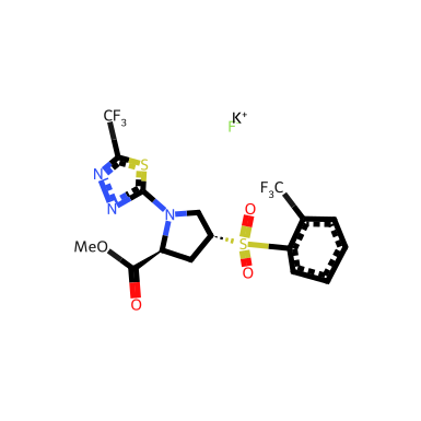 COC(=O)[C@@H]1C[C@@H](S(=O)(=O)c2ccccc2C(F)(F)F)CN1c1nnc(C(F)(F)F)s1.[F-].[K+]